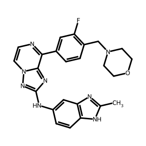 Cc1nc2cc(Nc3nc4c(-c5ccc(CN6CCOCC6)c(F)c5)nccn4n3)ccc2[nH]1